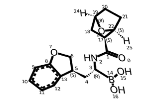 O=C(N[C@@H](C[C@@H]1COc2ccccc21)B(O)O)[C@H]1C[C@H]2CC[C@@H]1O2